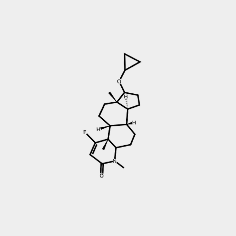 CN1C(=O)C=C(F)[C@@]2(C)C1CC[C@@H]1[C@H]2CC[C@]2(C)C(OC3CC3)CC[C@@H]12